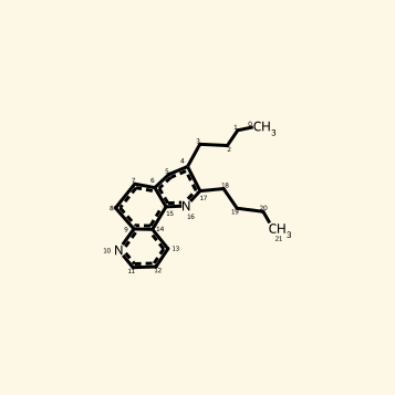 CCCCc1cc2ccc3ncccc3c2nc1CCCC